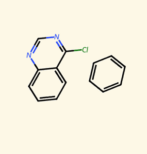 Clc1ncnc2ccccc12.c1ccccc1